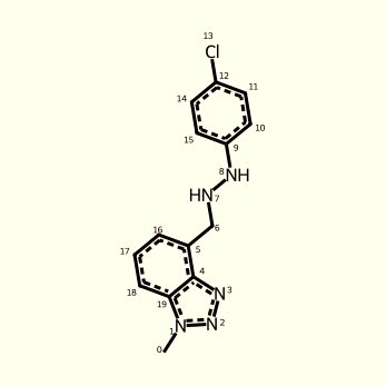 Cn1nnc2c(CNNc3ccc(Cl)cc3)cccc21